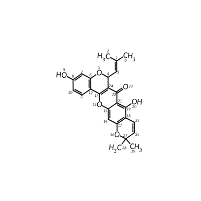 CC(C)=CC1Oc2cc(O)ccc2-c2oc3cc4c(c(O)c3c(=O)c21)C=CC(C)(C)O4